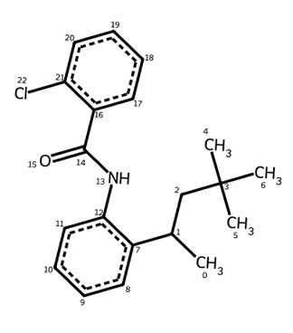 CC(CC(C)(C)C)c1ccccc1NC(=O)c1ccccc1Cl